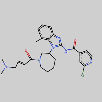 Cc1cccc2nc(NC(=O)c3ccnc(Cl)c3)n(C3CCCCN(C(=O)/C=C/CN(C)C)C3)c12